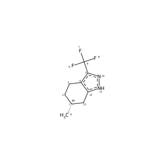 C[C@@H]1CCc2c(C(F)(F)F)n[nH]c2C1